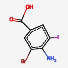 Nc1c(Br)cc(C(=O)O)cc1I